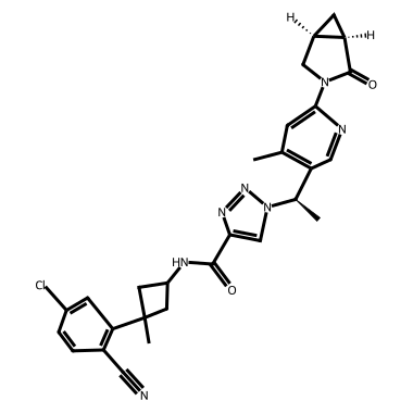 Cc1cc(N2C[C@H]3C[C@H]3C2=O)ncc1[C@@H](C)n1cc(C(=O)NC2CC(C)(c3cc(Cl)ccc3C#N)C2)nn1